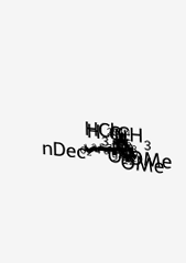 CCCCCCCCCCCCCCCCCC(=O)N1CC(N(C)C)Cc2cc(OC)c(OC)cc21.Cl